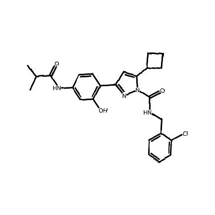 CC(C)C(=O)Nc1ccc(-c2cc(C3CCC3)n(C(=O)NCc3ccccc3Cl)n2)c(O)c1